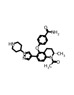 CC(=O)N1c2ccc(-c3cnn(C4CCNCC4)c3)c(Oc3ccc(C(N)=O)cc3)c2CC[C@@H]1C